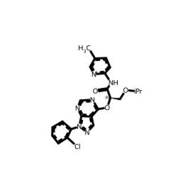 Cc1ccc(NC(=O)[C@@H](COC(C)C)Oc2ncnc3c2cnn3-c2ccccc2Cl)nc1